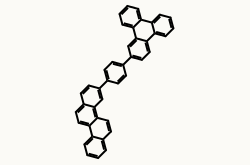 c1ccc2c(c1)ccc1c3cc(-c4ccc(-c5ccc6c7ccccc7c7ccccc7c6c5)cc4)ccc3ccc21